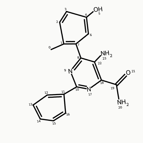 Cc1ccc(O)cc1-c1nc(-c2ccccc2)nc(C(N)=O)c1N